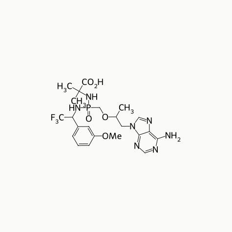 COc1cccc(C(NP(=O)(COC(C)Cn2cnc3c(N)ncnc32)NC(C)(C)C(=O)O)C(F)(F)F)c1